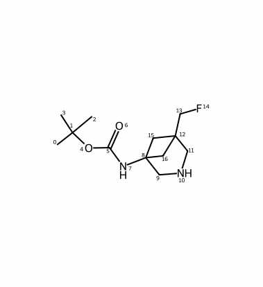 CC(C)(C)OC(=O)NC12CNCC(CF)(C1)C2